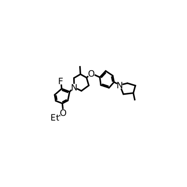 CCOc1ccc(F)c(N2CCC(Oc3ccc(N4CCC(C)C4)cc3)C(C)C2)c1